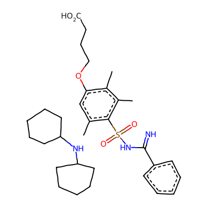 C1CCC(NC2CCCCC2)CC1.Cc1cc(OCCCC(=O)O)c(C)c(C)c1S(=O)(=O)NC(=N)c1ccccc1